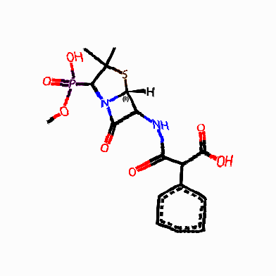 COP(=O)(O)C1N2C(=O)C(NC(=O)C(C(=O)O)c3ccccc3)[C@H]2SC1(C)C